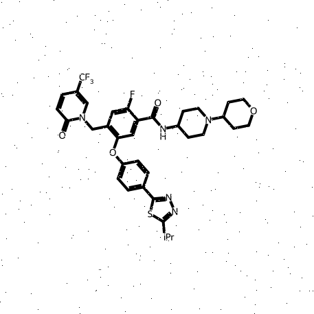 CC(C)c1nnc(-c2ccc(Oc3cc(C(=O)NC4CCN(C5CCOCC5)CC4)c(F)cc3Cn3cc(C(F)(F)F)ccc3=O)cc2)s1